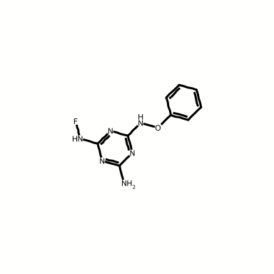 Nc1nc(NF)nc(NOc2ccccc2)n1